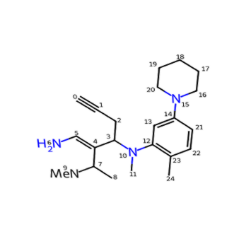 C#CCC(/C(=C/N)C(C)NC)N(C)c1cc(N2CCCCC2)ccc1C